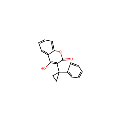 O=c1oc2ccccc2c(O)c1C1(c2ccccc2)CC1